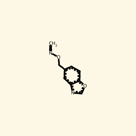 C=NOCc1ccc2ocnc2c1